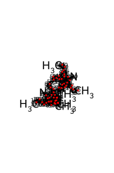 Cc1cccc(-c2ccc3c(c2)c2cc(-c4cccc(C)c4)ccc2n3-c2cc(C#N)cc(-n3c4ccc(-c5cccc(C)c5)cc4c4cc(-c5cccc(CCc6cccc(-c7ccc8c9ccc(-c%10cccc(C)c%10)cc9n(-c9cc(C#N)cc(-n%10c%11cc(-c%12cccc(C)c%12)ccc%11c%11ccc(-c%12cccc(C)c%12)cc%11%10)c9-c9cccc(C#N)c9)c8c7)c6)c5)ccc43)c2-c2cccc(C#N)c2)c1